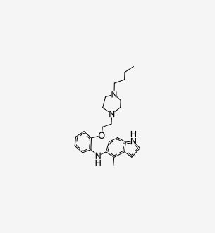 CCCCN1CCN(CCOc2ccccc2Nc2ccc3[nH]ccc3c2C)CC1